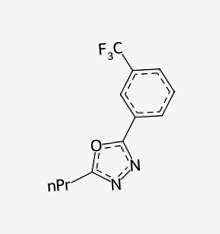 CCCc1nnc(-c2cccc(C(F)(F)F)c2)o1